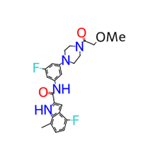 COCC(=O)N1CCN(c2cc(F)cc(NC(=O)c3cc4c(F)ccc(C)c4[nH]3)c2)CC1